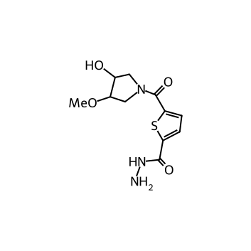 COC1CN(C(=O)c2ccc(C(=O)NN)s2)CC1O